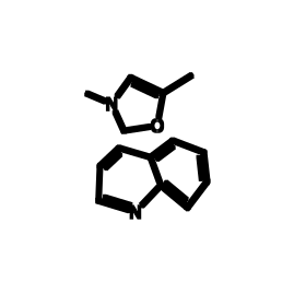 CC1=CN(C)CO1.c1ccc2ncccc2c1